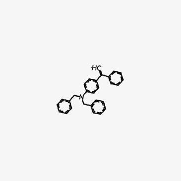 [CH]=C(c1ccccc1)c1ccc(N(Cc2ccccc2)Cc2ccccc2)cc1